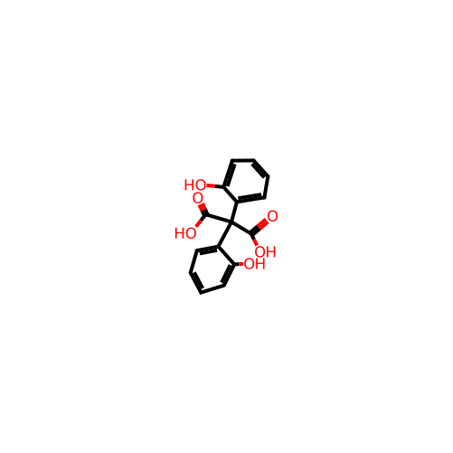 O=C(O)C(C(=O)O)(c1ccccc1O)c1ccccc1O